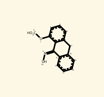 O=C(O)Oc1cccc2c1C(=NO)c1ccccc1C2